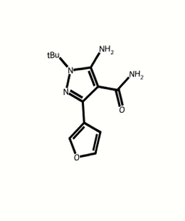 CC(C)(C)n1nc(-c2ccoc2)c(C(N)=O)c1N